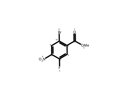 COC(=O)c1cc(F)c([N+](=O)[O-])cc1Br